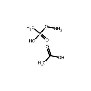 CC(=O)O.CP(=O)(O)ON